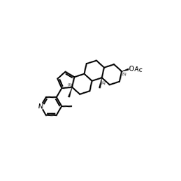 CC(=O)O[C@H]1CC[C@@]2(C)C(CCC3C4=CC=C(c5cnccc5C)[C@@]4(C)CCC32)C1